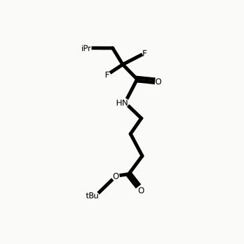 CC(C)CC(F)(F)C(=O)NCCCC(=O)OC(C)(C)C